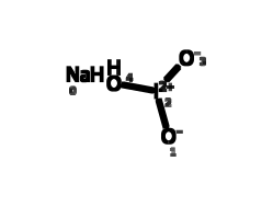 [NaH].[O-][I+2]([O-])O